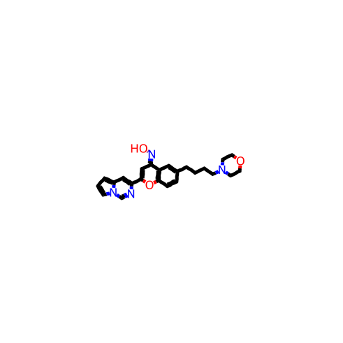 ON=c1cc(-c2cc3cccn3cn2)oc2ccc(CCCCN3CCOCC3)cc12